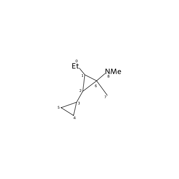 CCC1C(C2CC2)C1(C)NC